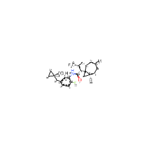 CCC1CC[C@H]2CC2([C@H](C(=O)Nc2cc(CC3(C(=O)O)CC3)ccc2F)[C@H](C)C(F)(F)F)CC1